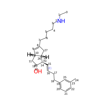 CCNCCCCCC1=C[C@H]2C[C@@H](O)[C@H](/C=C/CCc3cccc(C)c3)[C@H]2C1